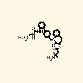 CC(C)(N)CC(=O)N[C@@H]1CCc2ccccc2N(Cc2ccc(-c3ccccc3NC(=O)NCC(=O)O)cc2)C1=O